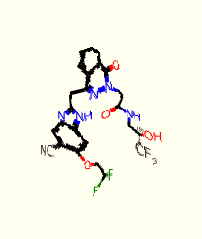 N#Cc1cc2nc(Cc3nn(CC(=O)NC[C@H](O)C(F)(F)F)c(=O)c4ccccc34)[nH]c2cc1OCC(F)F